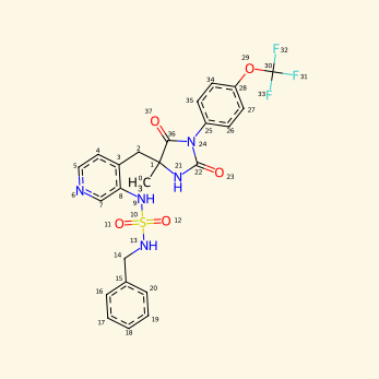 CC1(Cc2ccncc2NS(=O)(=O)NCc2ccccc2)NC(=O)N(c2ccc(OC(F)(F)F)cc2)C1=O